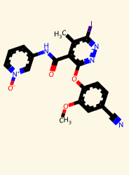 COc1cc(C#N)ccc1Oc1nnc(I)c(C)c1C(=O)Nc1ccc[n+]([O-])c1